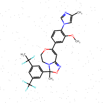 COc1cc(C2=CC3=NOC(C)(c4cc(C(C)(F)F)cc(C(F)(F)F)c4)N3CCO2)ccc1-n1cnc(C)c1